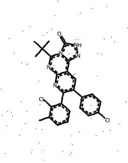 Cc1cccc(-c2nc3nc(C(C)(C)C)n4c(=O)[nH]nc4c3cc2-c2ccc(Cl)cc2)c1Cl